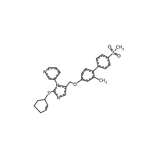 Cc1cc(OCc2cnc(SC3C=CCCC3)n2-c2cccnc2)ccc1-c1ccc(S(C)(=O)=O)cc1